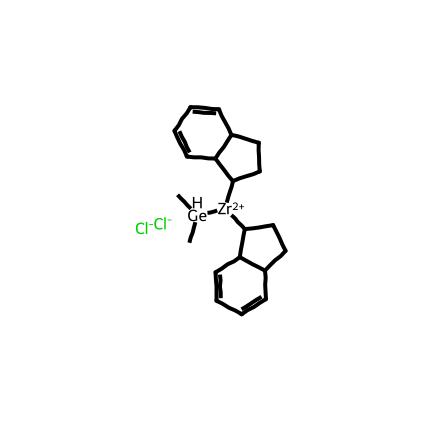 [CH3][GeH]([CH3])[Zr+2]([CH]1CCC2C=CC=CC21)[CH]1CCC2C=CC=CC21.[Cl-].[Cl-]